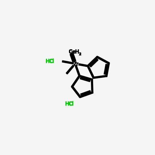 Cl.Cl.[CH3][Zr]([CH3])(=[GeH2])([C]1=CC=CC1)[C]1=CC=CC1